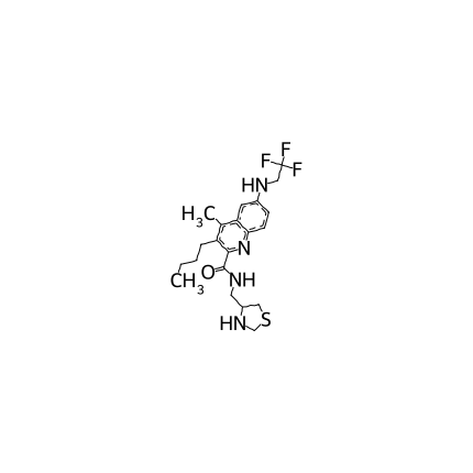 CCCCc1c(C(=O)NCC2CSCN2)nc2ccc(NCC(F)(F)F)cc2c1C